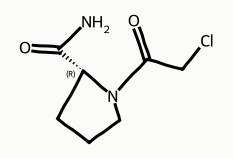 NC(=O)[C@H]1CCCN1C(=O)CCl